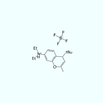 CC[NH+](CC)c1ccc2c(c1)OC(C)=CC2C(C)(C)C.F[B-](F)(F)F